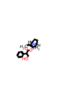 C=CC[N+]1(C)[C@@H]2CC[C@H]1C[C@@H](OC(=O)C(CO)c1ccccc1)C2